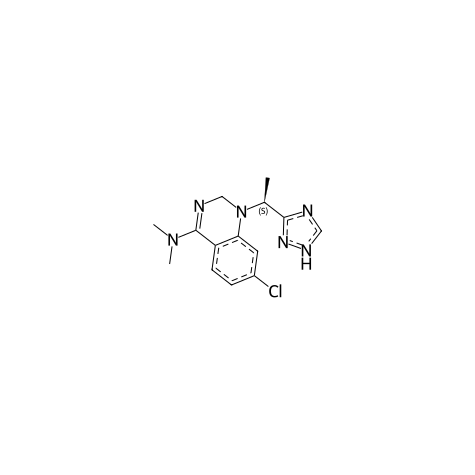 C[C@@H](c1nc[nH]n1)N1CN=C(N(C)C)c2ccc(Cl)cc21